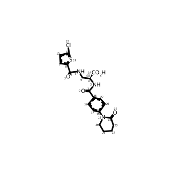 O=C(N[C@@H](CNC(=O)c1ccc(Cl)s1)C(=O)O)c1ccc(N2CCCCC2=O)cc1